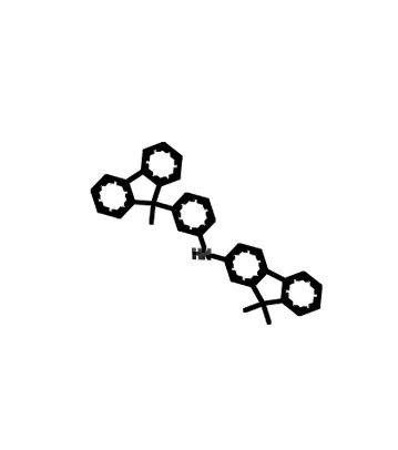 CC1(C)c2ccccc2-c2ccc(Nc3cccc(C4(C)c5ccccc5-c5ccccc54)c3)cc21